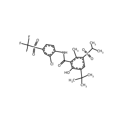 Cc1c(S(=O)(=O)C(C)C)cc(C(C)(C)C)c(O)c1C(=O)Nc1ccc(S(=O)(=O)C(F)(F)F)cc1Cl